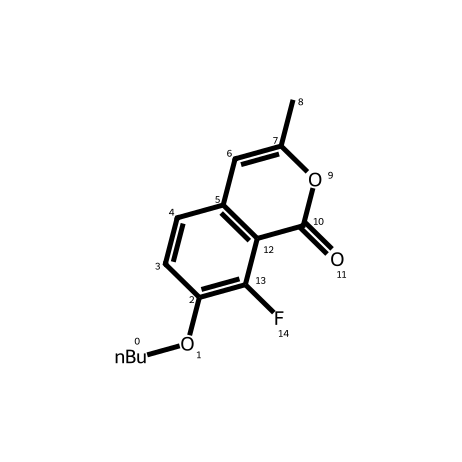 CCCCOc1ccc2cc(C)oc(=O)c2c1F